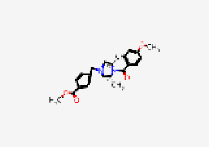 COC(=O)c1ccc(CN2C[C@@H](C)N(C(=O)c3ccc(OC)cc3)[C@@H](C)C2)cc1